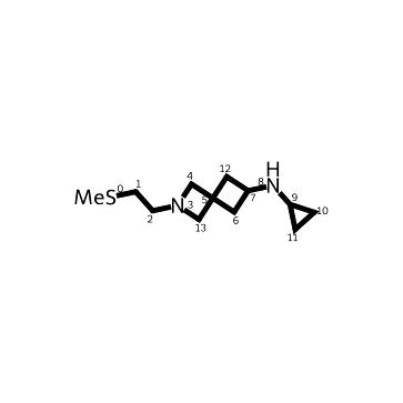 CSCCN1CC2(CC(NC3CC3)C2)C1